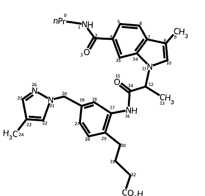 CCCNC(=O)c1ccc2c(C)cn(C(C)C(=O)Nc3cc(Cn4cc(C)cn4)ccc3CCCC(=O)O)c2c1